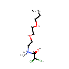 COCCOCCOCCN(C)C(=O)C(Cl)Cl